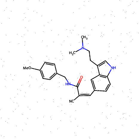 COc1ccc(CNC(=O)C(C#N)=Cc2ccc3[nH]cc(CCN(C)C)c3c2)cc1